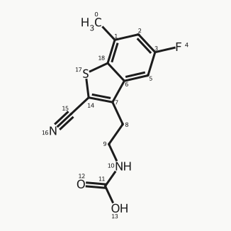 Cc1cc(F)cc2c(CCNC(=O)O)c(C#N)sc12